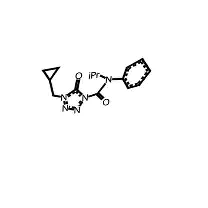 CC(C)N(C(=O)n1nnn(CC2CC2)c1=O)c1ccccc1